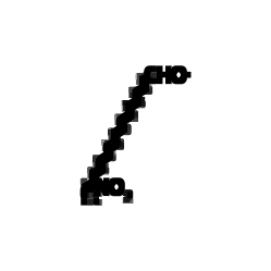 CC/C=C(/C/C=C/C/C=C/C/C=C/CCCCCC[C]=O)[N+](=O)[O-]